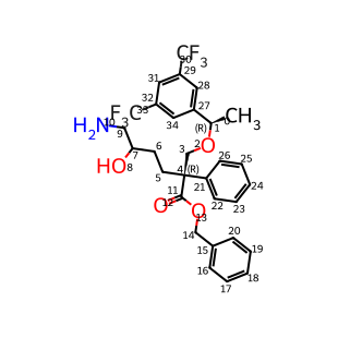 C[C@@H](OC[C@](CCC(O)CN)(C(=O)OCc1ccccc1)c1ccccc1)c1cc(C(F)(F)F)cc(C(F)(F)F)c1